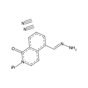 C#N.C#N.CC(C)n1ccc2c(C=NN)cccc2c1=O